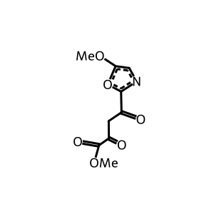 COC(=O)C(=O)CC(=O)c1ncc(OC)o1